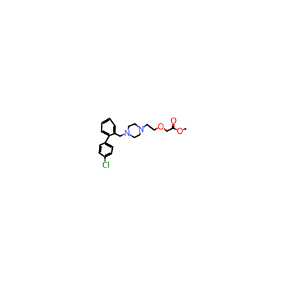 COC(=O)COCCN1CCN(Cc2ccccc2-c2ccc(Cl)cc2)CC1